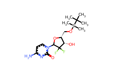 CC(C)(C)[Si](C)(C)OC[C@H]1OC(n2ccc(N)nc2=O)C(F)(F)[C@H]1O